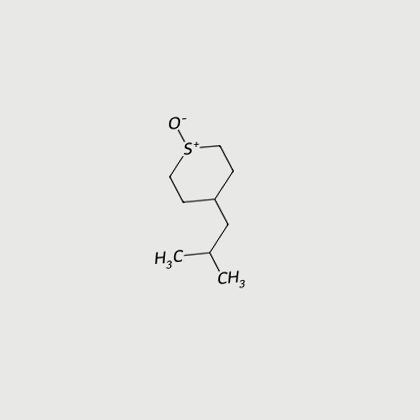 CC(C)CC1CC[S+]([O-])CC1